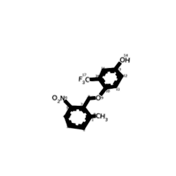 Cc1cccc([N+](=O)[O-])c1COc1ccc(O)cc1C(F)(F)F